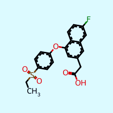 CCS(=O)(=O)c1ccc(Oc2cc(CC(=O)O)cc3cc(F)ccc23)cc1